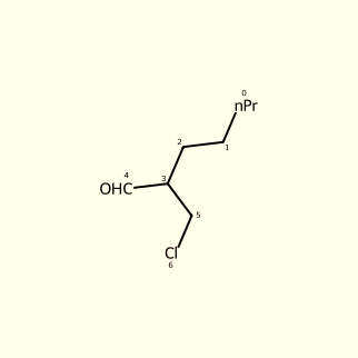 CCCCCC(C=O)CCl